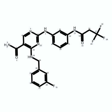 NC(=O)c1cnc(Nc2cccc(NC(=O)CC(F)(F)F)c2)nc1NCc1cccc(F)c1